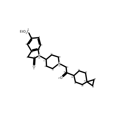 CCOC(=O)c1ccc2c(c1)CC(=O)N2C1CCN(CC(=O)C2CCC3(CC2)CC3)CC1